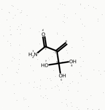 C=C(C(N)=O)C(O)(O)O